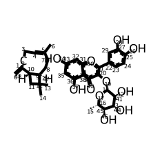 C=C1CC/C=C(\C)CC[C@@H]2[C@@H]1CC2(C)C.C[C@@H]1O[C@@H](Oc2c(-c3ccc(O)c(O)c3)oc3cc(O)cc(O)c3c2=O)[C@H](O)[C@H](O)[C@H]1O